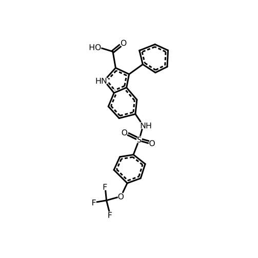 O=C(O)c1[nH]c2ccc(NS(=O)(=O)c3ccc(OC(F)(F)F)cc3)cc2c1-c1ccccc1